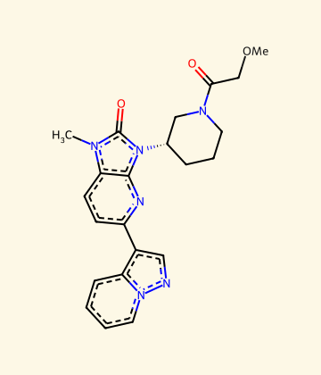 COCC(=O)N1CCC[C@H](n2c(=O)n(C)c3ccc(-c4cnn5ccccc45)nc32)C1